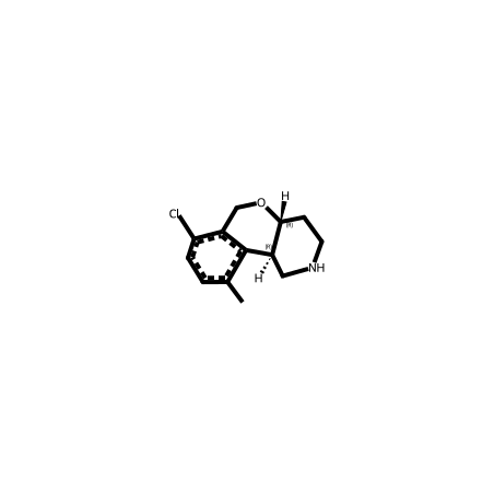 Cc1ccc(Cl)c2c1[C@@H]1CNCC[C@H]1OC2